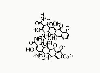 C[C@H]1c2cccc([O-])c2C(=O)C2=C(O)[C@]3(O)C(=O)C(C(N)=O)=C(O)[C@@H](N(C)C)[C@@H]3[C@@H](O)[C@@H]21.C[C@H]1c2cccc([O-])c2C(=O)C2=C(O)[C@]3(O)C(=O)C(C(N)=O)=C(O)[C@@H](N(C)C)[C@@H]3[C@@H](O)[C@@H]21.[Ca+2]